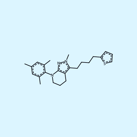 Cc1cc(C)c(N2CCCc3c2nn(C)c3CCCCc2cccs2)c(C)c1